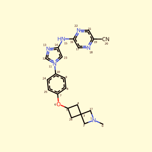 CN1CC2(CC(Oc3ccc(-n4cnc(Nc5cnc(C#N)cn5)c4)cc3)C2)C1